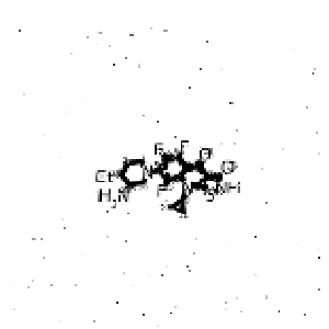 CC[C@@H]1CCN(c2c(F)c(F)c3c(=O)c4c(=O)[nH]sc4n(C4CC4)c3c2F)C[C@H]1N